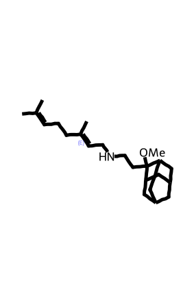 COC1(CCNC/C=C(\C)CCC=C(C)C)C2CC3CC(C2)CC1C3